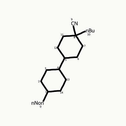 CCCCCCCCCC1CCC(C2CCC(C#N)(CCCC)CC2)CC1